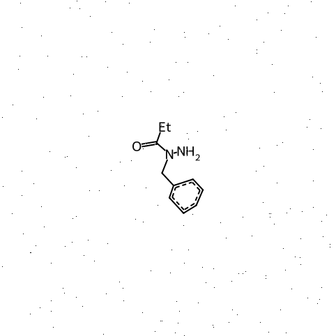 CCC(=O)N(N)Cc1ccccc1